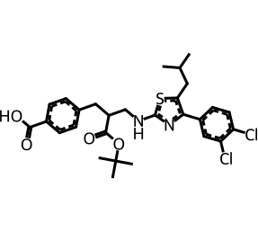 CC(C)Cc1sc(NCC(Cc2ccc(C(=O)O)cc2)C(=O)OC(C)(C)C)nc1-c1ccc(Cl)c(Cl)c1